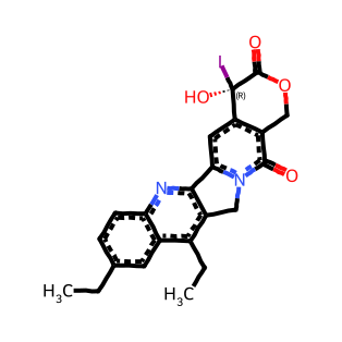 CCc1ccc2nc3c(c(CC)c2c1)Cn1c-3cc2c(c1=O)COC(=O)[C@]2(O)I